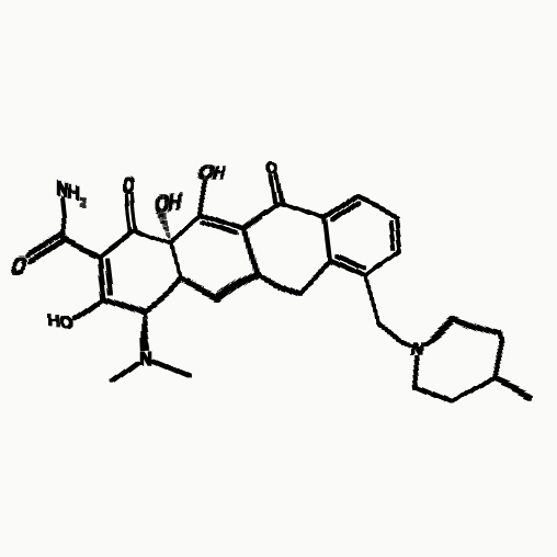 CC1CCN(Cc2cccc3c2CC2CC4[C@@H](N(C)C)C(O)=C(C(N)=O)C(=O)[C@@]4(O)C(O)=C2C3=O)CC1